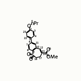 CCCOc1ccc(-c2ccc3c(c2)C=C(C(=O)OC)CCS3(=O)=O)cc1